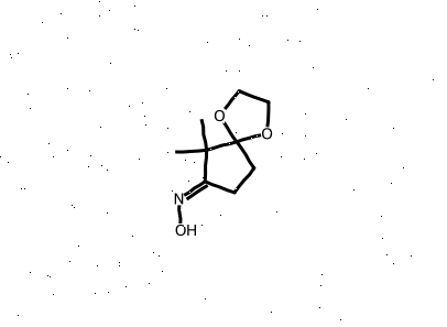 CC1(C)/C(=N/O)CCC12OCCO2